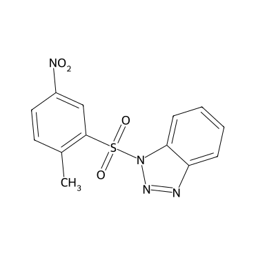 Cc1ccc([N+](=O)[O-])cc1S(=O)(=O)n1nnc2ccccc21